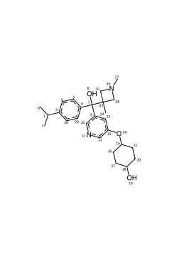 CC(C)c1ccc(C(O)(c2cncc(OC3CCC(O)CC3)c2)C2(C)CN(C)C2)cc1